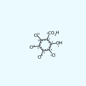 O=C(O)c1c(O)c(Cl)c(Cl)c(Cl)c1Cl